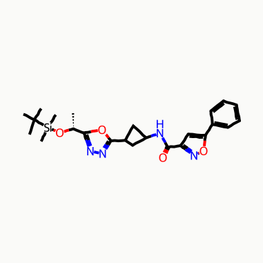 C[C@@H](O[Si](C)(C)C(C)(C)C)c1nnc(C2CC(NC(=O)c3cc(-c4ccccc4)on3)C2)o1